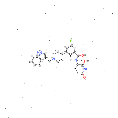 O=C1CCC(N2Cc3c(cc(F)cc3C3CCN(Cc4c[nH]c5ccccc45)CC3)C2=O)C(=O)N1